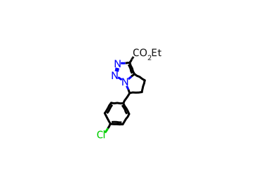 CCOC(=O)c1nnn2c1CCC2c1ccc(Cl)cc1